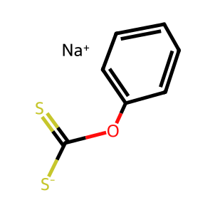 S=C([S-])Oc1ccccc1.[Na+]